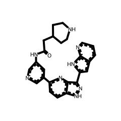 O=C(CC1CCNCC1)Nc1cncc(-c2ccc3[nH]nc(-c4cc5cccnc5[nH]4)c3n2)c1